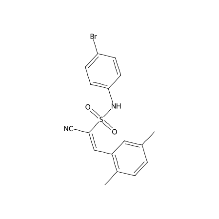 Cc1ccc(C)c(C=C(C#N)S(=O)(=O)Nc2ccc(Br)cc2)c1